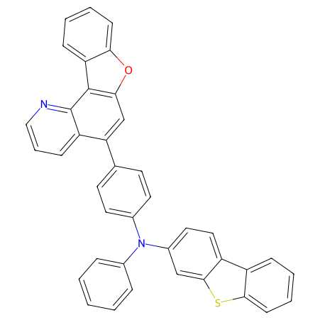 c1ccc(N(c2ccc(-c3cc4oc5ccccc5c4c4ncccc34)cc2)c2ccc3c(c2)sc2ccccc23)cc1